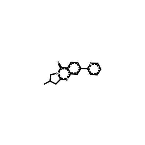 CC1Cc2nc3cc(-c4ccccn4)ccc3c(=O)n2C1